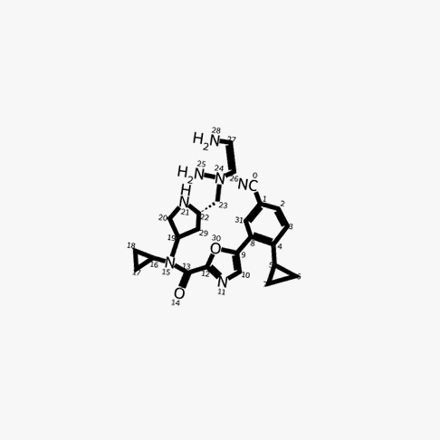 N#Cc1ccc(C2CC2)c(-c2cnc(C(=O)N(C3CC3)C3CN[C@H](CN(N)/C=C\N)C3)o2)c1